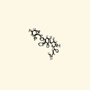 CC1=CN[C@@H](C(=O)/C=C/N(C)C)C[C@H]1n1c(C)cc(OCc2ncc(F)cc2F)c(Cl)c1=O